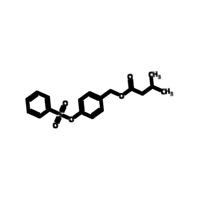 CC(C)CC(=O)OCc1ccc(OS(=O)(=O)c2ccccc2)cc1